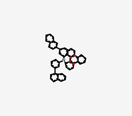 c1ccc(-c2ccccc2N(c2cccc(-c3cccc4ccccc34)c2)c2cc(-c3ccc4ccccc4c3)ccc2-c2ccc3ccccc3c2)cc1